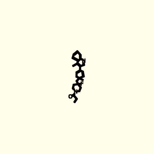 CCC(=O)N1CCC(F)(CC2(C)C=CC(c3cnc4ccccc4c3C)=CC2)CC1